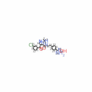 CC(C)(C)n1ncc(C(=O)c2cccc(Cl)c2)c1C(=O)NCCc1ccc(C(N)=NO)cc1